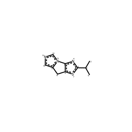 CC(C)c1nc2c(s1)Cc1cncn1-2